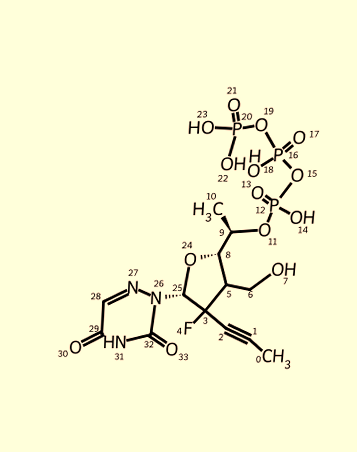 CC#CC1(F)C(CO)[C@@H]([C@@H](C)OP(=O)(O)OP(=O)(O)OP(=O)(O)O)O[C@H]1n1ncc(=O)[nH]c1=O